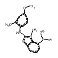 CCCN(CCC)c1cccc2nc(Nc3ccc(OC(F)(F)F)cc3C)n(C)c12